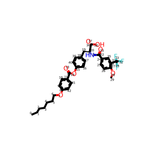 CCCCCCCOc1ccc(C(=O)Oc2ccc(C[C@H](NC(=O)c3ccc(OC)c(C(F)(F)F)c3)C(=O)O)cc2)cc1